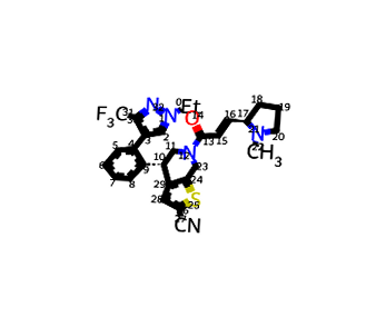 CCn1cc(-c2ccccc2[C@@H]2CN(C(=O)/C=C/[C@H]3CCCN3C)Cc3sc(C#N)cc32)c(C(F)(F)F)n1